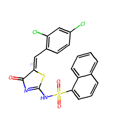 O=C1N=C(NS(=O)(=O)c2cccc3ccccc23)S/C1=C\c1ccc(Cl)cc1Cl